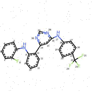 Fc1ccccc1Nc1ccccc1-c1cc(Nc2ccc(C(F)(F)F)cc2)ncn1